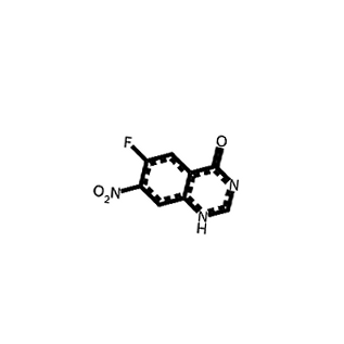 O=c1nc[nH]c2cc([N+](=O)[O-])c(F)cc12